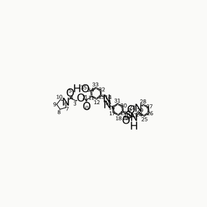 O=C(OCC(=O)N1CCCC1)c1cc(N=Nc2ccc(S(=O)(=O)Nc3ccccn3)cc2)ccc1O